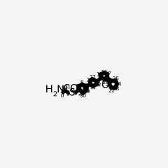 C[C@](N)(CSCc1ccc(-c2ccc(-c3cccc4c3oc3ccccc34)cc2)cc1)C(=O)O